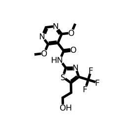 COc1ncnc(OC)c1C(=O)Nc1nc(C(F)(F)F)c(CCO)s1